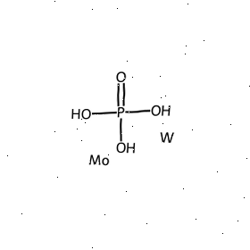 O=P(O)(O)O.[Mo].[W]